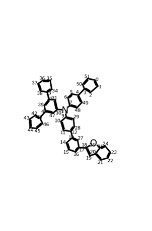 c1ccc(-c2ccc(N(c3ccc(-c4cccc(-c5cc6ccccc6o5)c4)cc3)c3cc(-c4ccccc4)cc(-c4ccccc4)c3)cc2)cc1